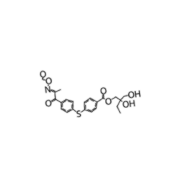 CCC(O)(CO)COC(=O)c1ccc(Sc2ccc(C(=O)/C(C)=N/OC=O)cc2)cc1